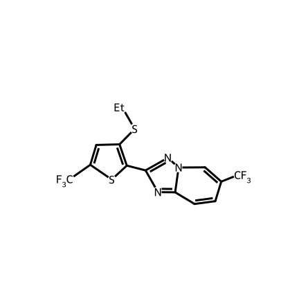 CCSc1cc(C(F)(F)F)sc1-c1nc2ccc(C(F)(F)F)cn2n1